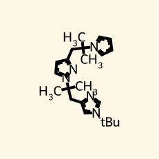 CC(C)(C)n1cnc(CC(C)(C)n2ccc(CC(C)(C)n3cccc3)n2)c1